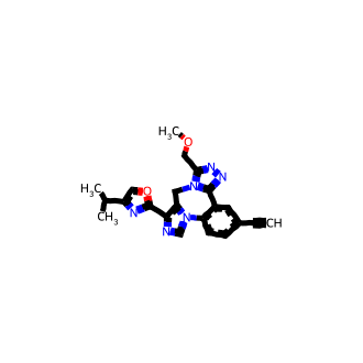 C#Cc1ccc2c(c1)-c1nnc(COC)n1Cc1c(-c3nc(C(C)C)co3)ncn1-2